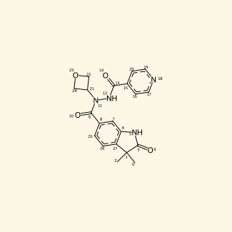 CC1(C)C(=O)Nc2cc(C(=O)N(NC(=O)c3ccncc3)C3COC3)ccc21